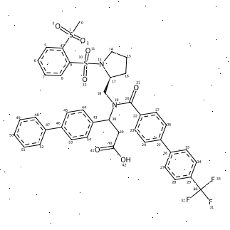 CS(=O)(=O)c1ccccc1S(=O)(=O)N1CCC[C@H]1CN(C(=O)c1ccc(-c2ccc(C(F)(F)F)cc2)cc1)C(CC(=O)O)c1ccc(-c2ccccc2)cc1